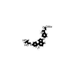 COC(=O)C[C@@H]1COc2cc(O[C@@H]3CCc4c(-c5ccc(OC[C@H](O)C(C)(C)O)cc5)c(C(F)(F)F)cc(F)c43)ccc21